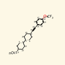 CCCCCCCC[C@H]1CC[C@H]([C@H]2CC[C@H](C#Cc3ccc(OC(F)(F)F)cc3)CC2)CC1